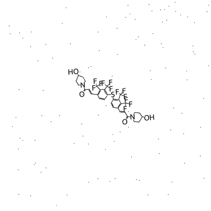 O=C(/C=C/c1ccc(Sc2ccc(/C=C/C(=O)N3CCC(O)CC3)c(C(F)(F)F)c2C(F)(F)F)c(C(F)(F)F)c1C(F)(F)F)N1CCC(O)CC1